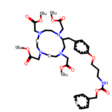 CC(C)(C)OC(=O)CN1CCN(CC(=O)OC(C)(C)C)CCN(CC(=O)OC(C)(C)C)C(Cc2ccc(OCCCNC(=O)OCc3ccccc3)cc2)CN(CC(=O)OC(C)(C)C)CC1